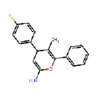 CC1=C(c2ccccc2)OC(N)=CC1c1ccc(F)cc1